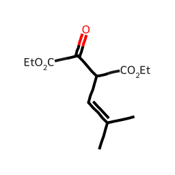 CCOC(=O)C(=O)C(C=C(C)C)C(=O)OCC